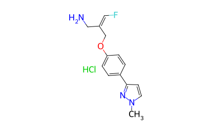 Cl.Cn1ccc(-c2ccc(OC/C(=C\F)CN)cc2)n1